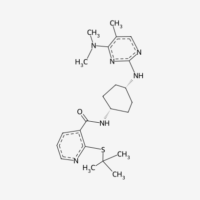 Cc1cnc(N[C@H]2CC[C@@H](NC(=O)c3cccnc3SC(C)(C)C)CC2)nc1N(C)C